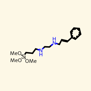 CO[Si](CCCNCCNCC=Cc1ccccc1)(OC)OC